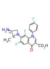 C[C@@H]1[C@@H](N)CN1c1c(F)cc2c(=O)c(C(=O)O)cn(-c3ccc(F)cc3)c2c1F